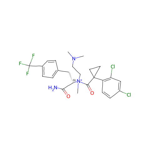 CN(C)CC[N+](C)(C(=O)C1(c2ccc(Cl)cc2Cl)CC1)[C@@H](Cc1ccc(C(F)(F)F)cc1)C(N)=O